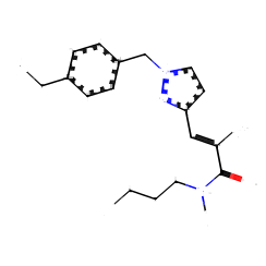 CS/C(=C\c1ccn(Cc2ccc(C[N+](=O)[O-])cc2)n1)C(=O)N(C=O)CCCC(=O)O